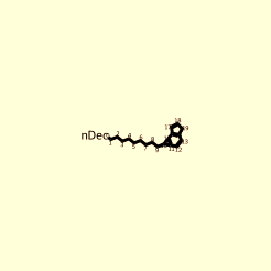 CCCCCCCCCCCCCCCCCCCC1c2ccc3c(c21)C=C[CH]3